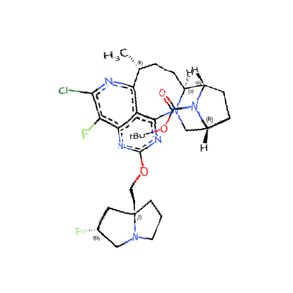 C[C@@H]1CC[C@H]2[C@@H]3CC[C@H](CN2c2nc(OC[C@@]45CCCN4C[C@H](F)C5)nc4c(F)c(Cl)nc1c24)N3C(=O)OC(C)(C)C